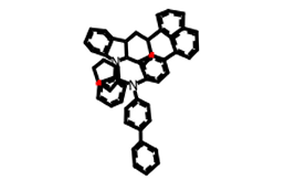 C1=CC(N(c2ccc(-c3ccccc3)cc2)c2ccc(-c3cccc4cccc(C5CCC6C(C5)c5ccccc5N6c5ccccc5)c34)cc2)=CCC1